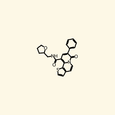 O=C(NCC1CCCO1)c1cc(-c2ccccc2)c(=O)n2ccc3ccsc3c12